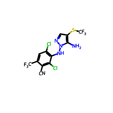 N#Cc1c(C(F)(F)F)cc(Cl)c(Nn2ncc(SC(F)(F)F)c2N)c1Cl